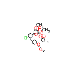 CC(=O)OC[C@H]1O[C@@H](c2ccc(Cl)c(Cc3ccc(OCCOC4CC4)cc3)c2)C[C@@H](OC(C)=O)[C@@H]1OC(C)=O